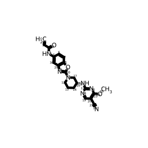 C=CC(=O)Nc1ccc2oc(N3CCC[C@@H](Nc4ncc(C#N)c(OC)n4)C3)nc2c1